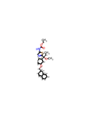 CCOC(=O)Nc1cnc(C(CC)(OC)c2cccc(OCc3ccc4ccccc4c3)c2)s1